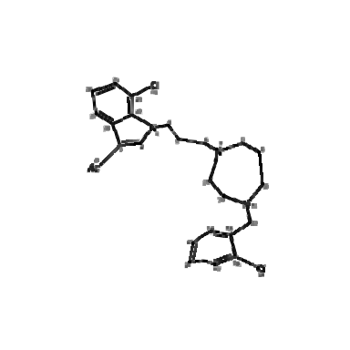 CC(=O)c1cn(CCCN2CCCN(Cc3ccccc3Cl)CC2)c2c(Cl)cccc12